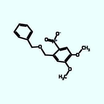 COc1cc(COCc2ccccc2)c([N+](=O)[O-])cc1OC